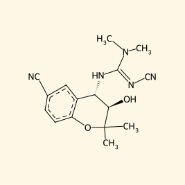 CN(C)C(=NC#N)N[C@H]1c2cc(C#N)ccc2OC(C)(C)[C@@H]1O